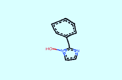 On1ccnc1-c1ccccc1